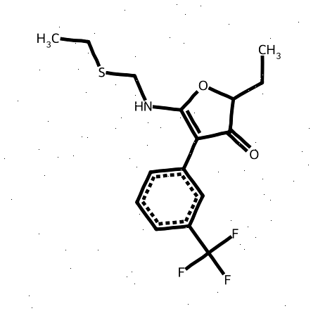 CCSCNC1=C(c2cccc(C(F)(F)F)c2)C(=O)C(CC)O1